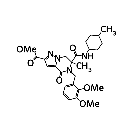 COC(=O)c1cc2n(n1)CC(C)(C(=O)NC1CCC(C)CC1)N(Cc1cccc(OC)c1OC)C2=O